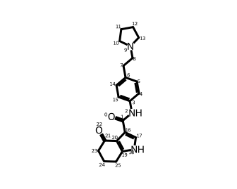 O=C(Nc1ccc(CCN2CCCC2)cc1)c1c[nH]c2c1C(=O)CCC2